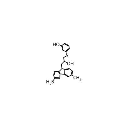 Bc1ccc2c(c1)-c1cc(C)ccc1C2CC(O)CSc1cccc(O)c1